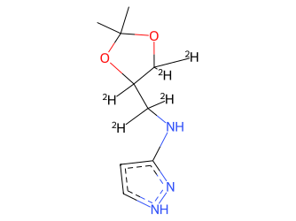 [2H]C([2H])(Nc1cc[nH]n1)C1([2H])OC(C)(C)OC1([2H])[2H]